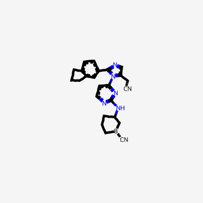 N#CCc1cnc(-c2ccc3c(c2)CCC3)n1-c1ccnc(NC2CCCB(C#N)C2)n1